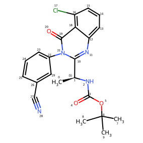 C[C@H](NC(=O)OC(C)(C)C)c1nc2cccc(Cl)c2c(=O)n1-c1cccc(C#N)c1